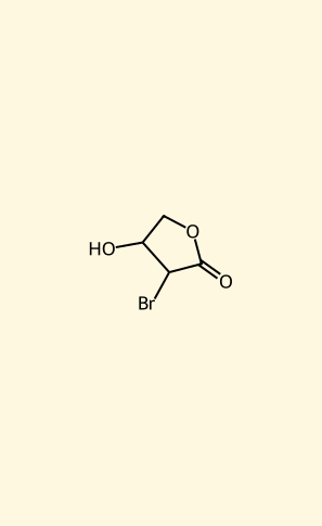 O=C1OCC(O)C1Br